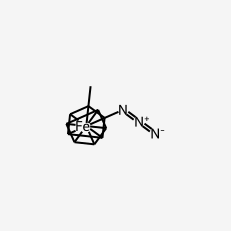 C[C]12[CH]3[CH]4[CH]5[C]1(N=[N+]=[N-])[Fe]43521678[CH]2[CH]1[CH]6[CH]7[CH]28